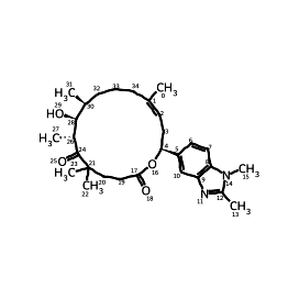 CC1=CC[C@@H](c2ccc3c(c2)nc(C)n3C)OC(=O)CCC(C)(C)C(=O)[C@H](C)[C@@H](O)[C@@H](C)CCC1